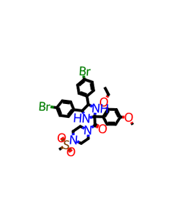 CCOc1cc(OC)ccc1C1(C(=O)N2CCN(S(C)(=O)=O)CC2)NC(c2ccc(Br)cc2)C(c2ccc(Br)cc2)N1